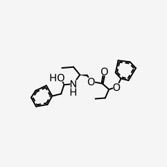 CCC(Oc1ccccc1)C(=O)OC[C@H](CC)N[C@H](O)Cc1ccccc1